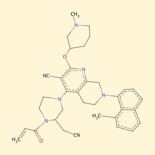 C=CC(=O)N1CCN(c2c(C#N)c(OC3CCCN(C)C3)nc3c2CCN(c2cccc4cccc(C)c24)C3)CC1CC#N